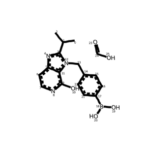 CC(C)c1nc2ccnc(O)c2n1Cc1ccc(B(O)O)cc1.O=CO